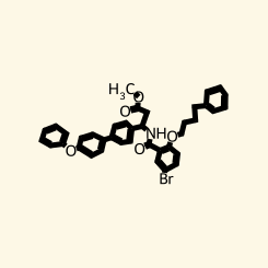 COC(=O)CC(NC(=O)c1cc(Br)ccc1OCCCCc1ccccc1)c1ccc(-c2ccc(Oc3ccccc3)cc2)cc1